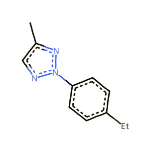 CCc1ccc(-n2ncc(C)n2)cc1